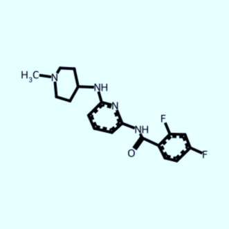 CN1CCC(Nc2cccc(NC(=O)c3ccc(F)cc3F)n2)CC1